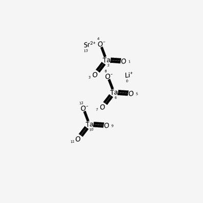 [Li+].[O]=[Ta](=[O])[O-].[O]=[Ta](=[O])[O-].[O]=[Ta](=[O])[O-].[Sr+2]